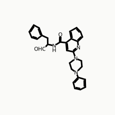 O=CC(Cc1ccccc1)NC(=O)c1cc(N2CCN(c3ccccc3)CC2)nc2ccccc12